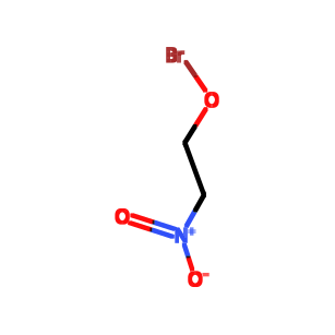 O=[N+]([O-])CCOBr